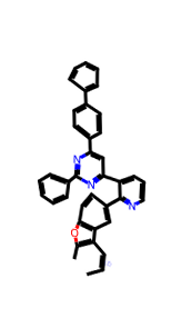 C/C=C\c1c(C)oc2ccc(-c3ncccc3-c3cc(-c4ccc(-c5ccccc5)cc4)nc(-c4ccccc4)n3)cc12